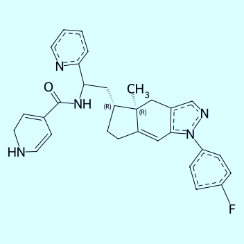 C[C@]12Cc3cnn(-c4ccc(F)cc4)c3C=C1CC[C@@H]2CC(NC(=O)C1=CCNC=C1)c1ccccn1